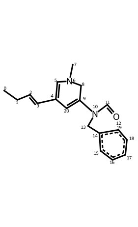 CC/C=C/C1=CN(C)CC(N(C=O)Cc2ccccc2)=C1